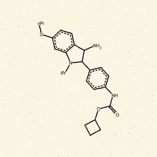 CCCOc1ccc2c(c1)N(C(C)C)C(c1ccc(NC(=O)OC3CCC3)cc1)C2N